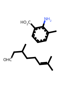 CC(C)=CCCC(C)CC=O.Cc1cccc(C(=O)O)c1N